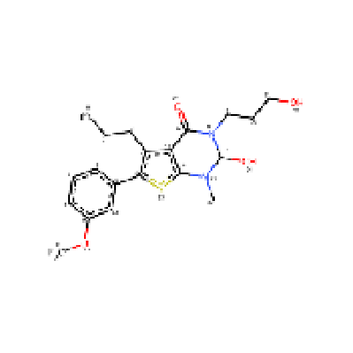 CC(C)CCc1c(-c2cccc(OC(F)(F)F)c2)sc2c1C(=O)N(CCCO)C(O)N2C